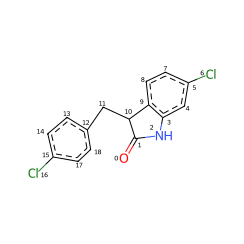 O=C1Nc2cc(Cl)ccc2C1Cc1ccc(Cl)cc1